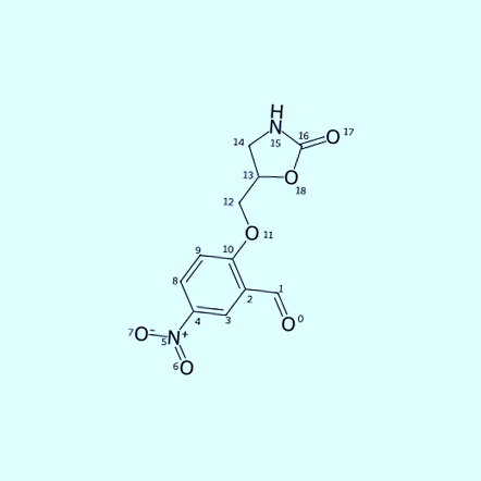 O=Cc1cc([N+](=O)[O-])ccc1OCC1CNC(=O)O1